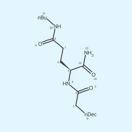 CCCCCCCCCCCC(=O)N[C@@H](CCC(=O)NCCCC)C(N)=O